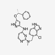 C[C@@H](Oc1cc(Nc2ccnc(N(C)Cc3ccc4[nH]cnc4c3Cl)n2)n[nH]1)c1ccccc1